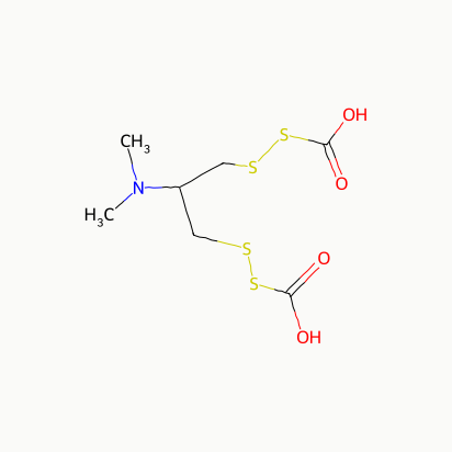 CN(C)C(CSSC(=O)O)CSSC(=O)O